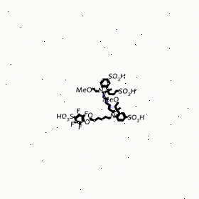 COCCN1/C(=C/C=C/C=C/C2=[N+](CCCCCC(=O)Oc3c(F)c(F)c(S(=O)(=O)O)c(F)c3F)c3ccc(S(=O)(=O)O)cc3C2(C)CCOC)C(C)(CCCS(=O)(=O)O)c2cc(S(=O)(=O)O)ccc21